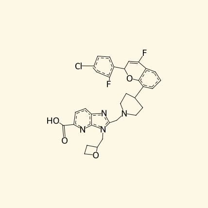 O=C(O)c1ccc2nc(CN3CCC(c4cccc5c4OC(c4ccc(Cl)cc4F)C=C5F)CC3)n(CC3CCO3)c2n1